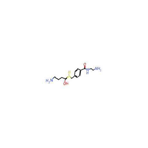 NCCCC(O)=[SH]Cc1ccc(C(=O)NCCN)cc1